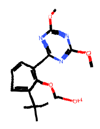 COc1nc(OC)nc(-c2cccc(C(C)(C)C)c2OCO)n1